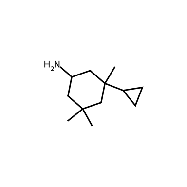 CC1(C)CC(N)CC(C)(C2CC2)C1